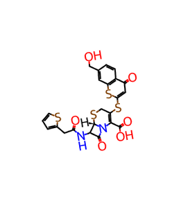 O=C(Cc1cccs1)NC1C(=O)N2C(C(=O)O)=C(Sc3cc(=O)c4ccc(CO)cc4s3)CS[C@@H]12